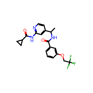 CC(NC(=O)c1cccc(OCC(F)(F)F)c1)c1ccnc(NC(=O)C2CC2)c1